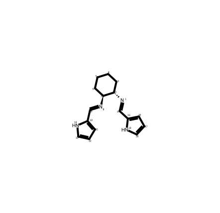 C(=N\[C@H]1CCCC[C@@H]1/N=C/c1ccc[nH]1)/c1ccc[nH]1